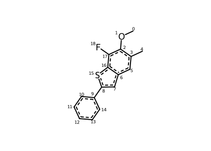 COc1c(C)cc2cc(-c3ccccc3)sc2c1F